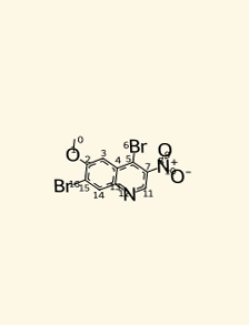 COc1cc2c(Br)c([N+](=O)[O-])cnc2cc1Br